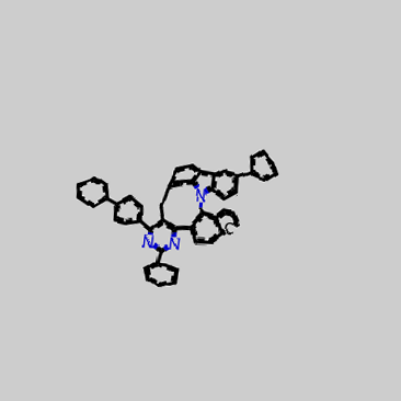 c1ccc(-c2ccc(-c3nc(-c4ccccc4)nc4c3Cc3ccc5c6cc(-c7ccccc7)ccc6n(c5c3)-c3c-4ccc4ccccc34)cc2)cc1